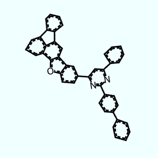 c1ccc(-c2ccc(-c3nc(-c4ccccc4)cc(-c4ccc5oc6c7cccc8c7c(cc6c5c4)-c4ccccc4-8)n3)cc2)cc1